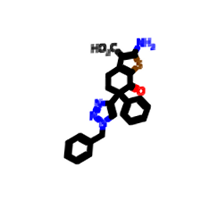 Nc1sc2c(c1C(=O)O)CCC(c1ccccc1)(c1cn(Cc3ccccc3)nn1)C2=O